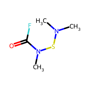 CN(C)SN(C)C(=O)F